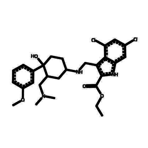 CCOC(=O)c1[nH]c2cc(Cl)cc(Cl)c2c1CNC1CCC(O)(c2cccc(OC)c2)C(CN(C)C)C1